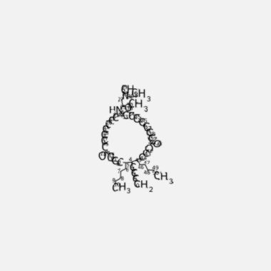 C=C=C=C=C1C(CCCCC)CCOC(=O)CCCCCCCC(NC(=O)CN(C)C(C)C)CCCCCCCC(=O)OCCC1CCCCC